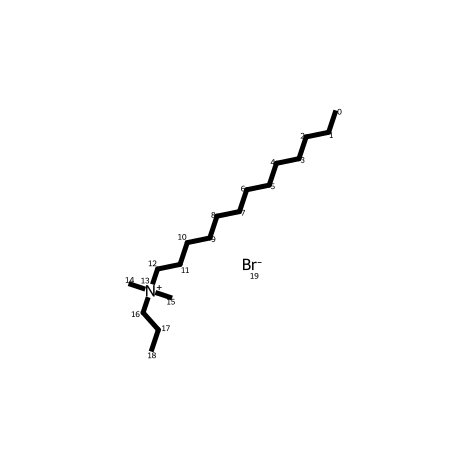 CCCCCCCCCCCCC[N+](C)(C)CCC.[Br-]